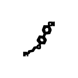 CC(C)CCCOc1ccc(-c2ccc(C#N)cc2)cc1